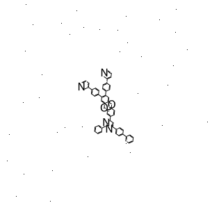 c1ccc(-c2ccc(-c3cc(-c4ccc5c(c4)Oc4cc(-c6ccc(-c7cccnc7)cc6)c(-c6ccc(-c7cccnc7)cc6)cc4O5)nc(-c4ccccc4)n3)cc2)cc1